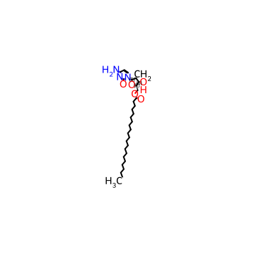 C=C1[C@H](n2ccc(N)nc2=O)O[C@H](COC(=O)CCCCCCCCCCCCCCCCCCCCC)[C@H]1O